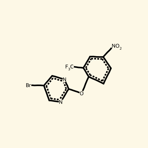 O=[N+]([O-])c1ccc(Oc2ncc(Br)cn2)c(C(F)(F)F)c1